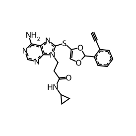 C#Cc1ccccc1C1OC=C(Sc2nc3c(N)ncnc3n2CCC(=O)NC2CC2)O1